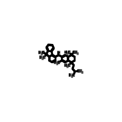 Cc1cc2c(cc1Nc1cccc3c1-c1ccccc1C3(C)C)C(C)(C)CCC2(C)CCC(C)C